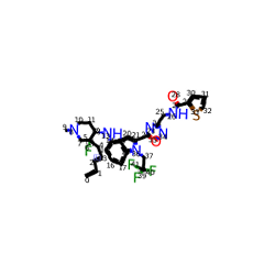 C=C/C=C/C[C@]1(F)CN(C)CC[C@H]1Nc1cccc2c1cc(-c1nc(CNC(=O)c3cccs3)no1)n2CC(F)(F)F